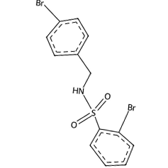 O=S(=O)(NCc1ccc(Br)cc1)c1ccccc1Br